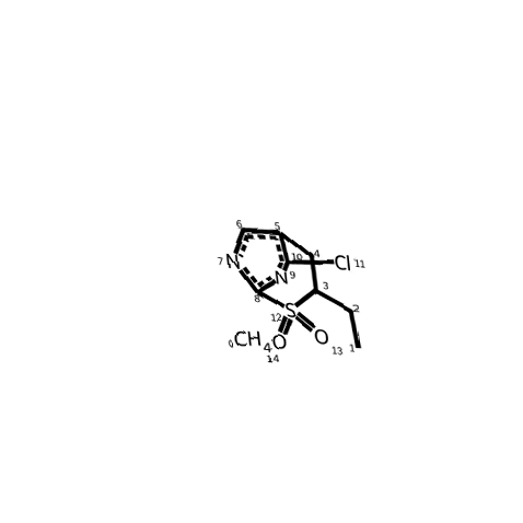 C.CCC1Cc2cnc(nc2Cl)S1(=O)=O